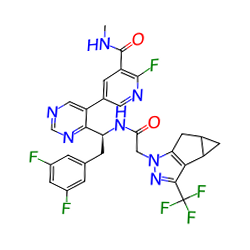 CNC(=O)c1cc(-c2cncnc2[C@H](Cc2cc(F)cc(F)c2)NC(=O)Cn2nc(C(F)(F)F)c3c2CC2CC32)cnc1F